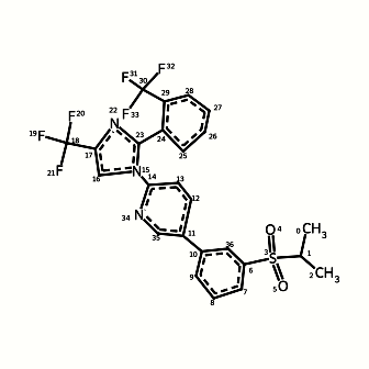 CC(C)S(=O)(=O)c1cccc(-c2ccc(-n3cc(C(F)(F)F)nc3-c3ccccc3C(F)(F)F)nc2)c1